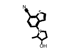 CC1[C@H](O)CCN1c1ccc(C#N)c2sccc12